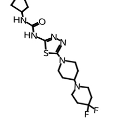 O=C(Nc1nnc(N2CCC(N3CCC(F)(F)CC3)CC2)s1)NC1CCCC1